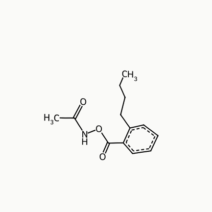 CCCCc1ccccc1C(=O)ONC(C)=O